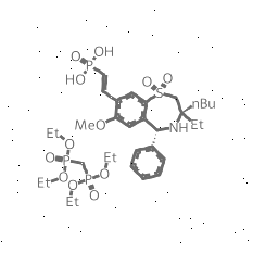 CCCC[C@]1(CC)CS(=O)(=O)c2cc(/C=C/P(=O)(O)O)c(OC)cc2[C@@H](c2ccccc2)N1.CCOP(=O)(CP(=O)(OCC)OCC)OCC